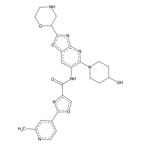 Cc1cc(-c2nc(C(=O)Nc3cc4oc(C5CNCCO5)nc4nc3N3CCC(O)CC3)co2)ccn1